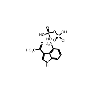 O=C(O)C(=O)c1c[nH]c2cccc([N+](=O)[O-])c12.O=P(O)(O)OP(=O)(O)Cl